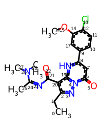 CCc1nn2c(=O)cc(-c3ccc(Cl)c(OC)c3)[nH]c2c1C(=O)N=C(C)N(C)C